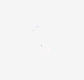 Cc1nc(N2CCc3c(c(C)nn3CC34CCC(OC(N)=O)(CC3)CC4)C2)c2cc[nH]c2n1